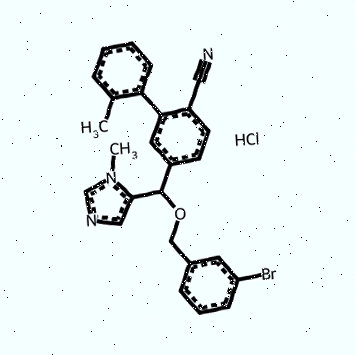 Cc1ccccc1-c1cc(C(OCc2cccc(Br)c2)c2cncn2C)ccc1C#N.Cl